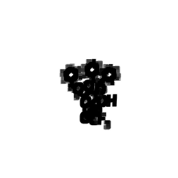 C[C@@]1(OS(=O)(=O)C(F)(F)F)O[C@@H](COCc2ccccc2)[C@H](OCc2ccccc2)[C@@H](OCc2ccccc2)[C@@H]1O